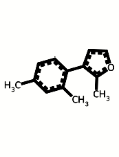 Cc1c[c]c(-c2ccoc2C)c(C)c1